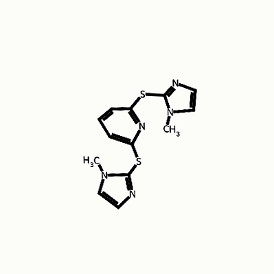 Cn1ccnc1Sc1cccc(Sc2nccn2C)n1